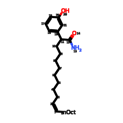 CCCCCCCC/C=C\CCCCCCCCC(C(N)=O)c1cccc(O)c1